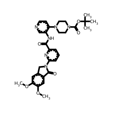 COc1cc2c(cc1OC)C(=O)N(c1cccc(C(=O)Nc3cnccc3N3CCN(C(=O)OC(C)(C)C)CC3)n1)C2